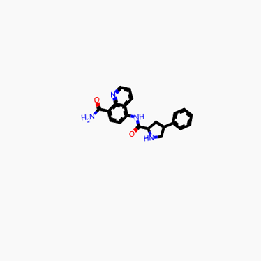 NC(=O)c1ccc(NC(=O)C2CC(c3ccccc3)CN2)c2cccnc12